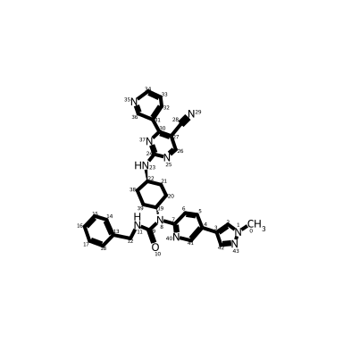 Cn1cc(-c2ccc(N(C(=O)NCc3ccccc3)[C@H]3CC[C@H](Nc4ncc(C#N)c(-c5cccnc5)n4)CC3)nc2)cn1